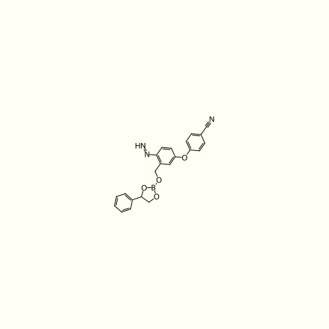 N#Cc1ccc(Oc2ccc(N=N)c(COB3OCC(c4ccccc4)O3)c2)cc1